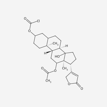 CC(=O)OC1C[C@H]2[C@@H](CCC3CC(OC(=O)Cl)CC[C@@]32C)C2(O)CC[C@H](C3=CC(=O)OC3)[C@@]12C